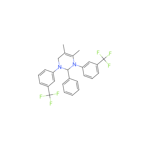 CC1=C(C)N(c2cccc(C(F)(F)F)c2)C(c2ccccc2)N(c2cccc(C(F)(F)F)c2)C1